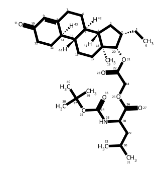 CC[C@H]1C[C@H]2[C@@H]3CCC4=CC(=O)CC[C@@H]4[C@H]3CC[C@]2(C)[C@H]1OC(=O)COC(=O)C(CC(C)C)NC(=O)OC(C)(C)C